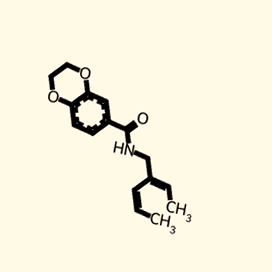 C/C=C\C(=C/C)CNC(=O)c1ccc2c(c1)OCCO2